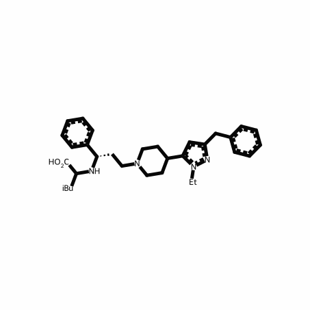 CCC(C)C(N[C@@H](CCN1CCC(c2cc(Cc3ccccc3)nn2CC)CC1)c1ccccc1)C(=O)O